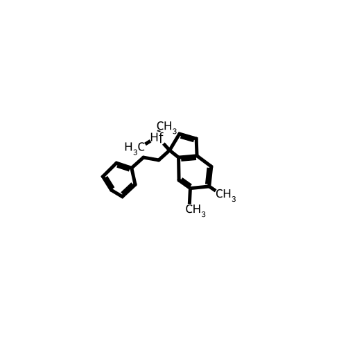 Cc1cc2c(cc1C)[C](CCc1ccccc1)([Hf]([CH3])[CH3])C=C2